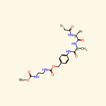 CC(C)[C@H](NC(=O)CBr)C(=O)N[C@@H](C)C(=O)Nc1ccc(COC(=O)NCCNC(=O)OC(C)(C)C)cc1